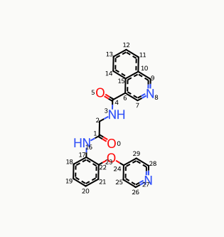 O=C(CNC(=O)c1cncc2ccccc12)Nc1ccccc1Oc1ccncc1